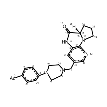 CC(=O)c1ccc(N2CCN(Cc3cnc4c(c3)NC(=O)[C@@H]3CCCN43)CC2)cc1